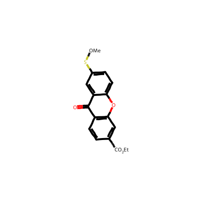 CCOC(=O)c1ccc2c(=O)c3cc(SOC)ccc3oc2c1